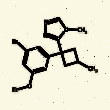 CCOc1cc(Br)cc(C2(c3nncn3C)CC(C)C2)c1